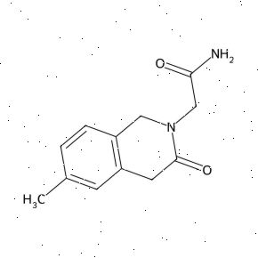 Cc1ccc2c(c1)CC(=O)N(CC(N)=O)C2